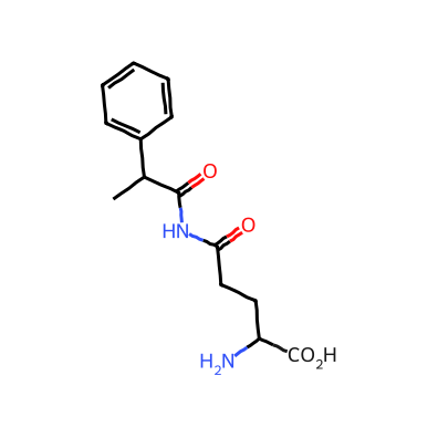 CC(C(=O)NC(=O)CCC(N)C(=O)O)c1ccccc1